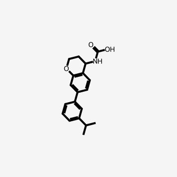 CC(C)c1cccc(-c2ccc3c(c2)OCCC3NC(=O)O)c1